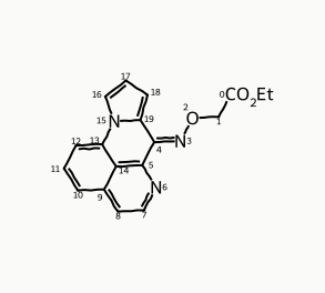 CCOC(=O)CO/N=c1/c2nccc3cccc(c32)n2cccc12